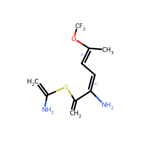 C=C(N)SC(=C)/C(N)=C\C=C(/C)OC(F)(F)F